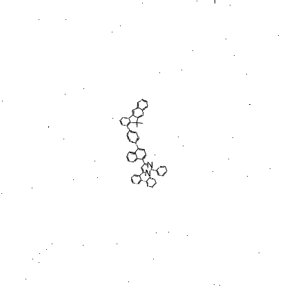 CC1(C)c2cc3ccccc3cc2-c2cccc(-c3ccc(-c4ccc(-c5cc(-c6ccccc6-c6ccccc6)nc(-c6ccccc6)n5)c5ccccc45)cc3)c21